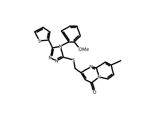 COc1ccccc1-n1c(SCc2cc(=O)n3ccc(C)cc3n2)nnc1-c1cccs1